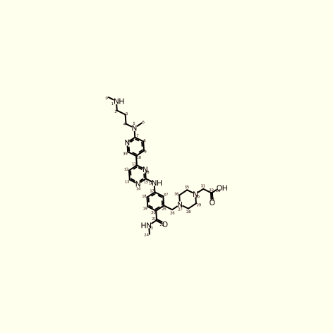 CNCCCN(C)c1ccc(-c2ccnc(Nc3ccc(C(=O)NC)c(CN4CCN(CC(=O)O)CC4)c3)n2)cn1